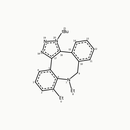 CCc1cccc2c1N(CC)Cc1ccccc1-c1c-2nnn1C(C)(C)C